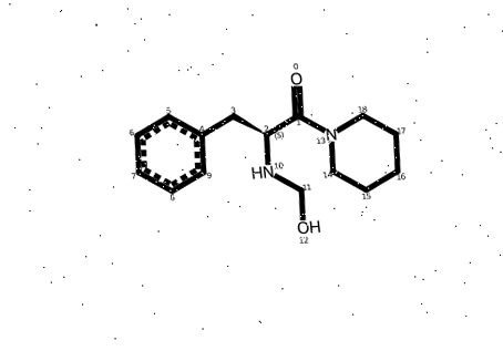 O=C([C@H](Cc1ccccc1)NCO)N1CCCCC1